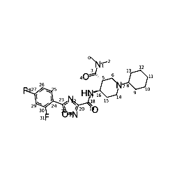 CN(C)C(=O)[C@@H]1CN(C2CCCCC2)CC[C@H]1NC(=O)c1noc(-c2ccc(F)cc2F)n1